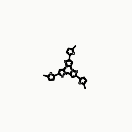 Cc1ccc(-c2cc3n(n2)c2cc(-c4ccc(C)o4)nn2c2cc(-c4ccc(C)o4)nn32)o1